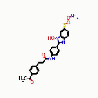 CC(=O)c1ccc(/C=C/C(=O)Nc2ccc(-c3nc4ccc(SOON)cc4n3O)cc2)cc1